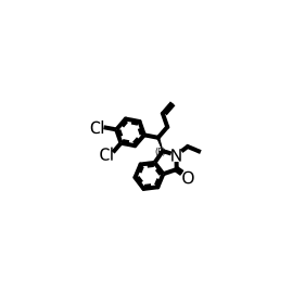 C=CCC(c1ccc(Cl)c(Cl)c1)[C@@H]1c2ccccc2C(=O)N1CC